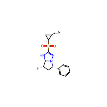 N#C[C@@H]1C[C@@H]1S(=O)(=O)C1=NN2C(N1)[C@@H](F)C[C@H]2c1ccccc1